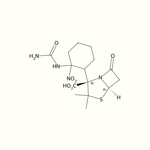 CC1(C)S[C@@H]2CC(=O)N2[C@@]1(C(=O)O)C1CCCCC1(NC(N)=O)[N+](=O)[O-]